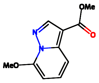 COC(=O)c1cnn2c(OC)cccc12